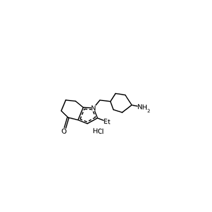 CCc1cc2c(n1CC1CCC(N)CC1)CCCC2=O.Cl